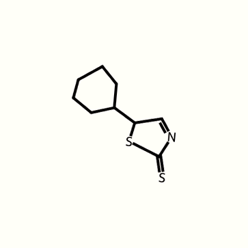 S=C1N=CC(C2CCCCC2)S1